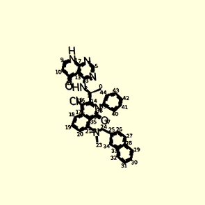 C[C@H](Nc1ncnc2[nH]ccc(=O)c12)c1c(Cl)c2cccc(N(C)Cc3ccc4ccccc4c3)c2c(=O)n1-c1ccccc1